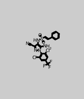 N#Cc1nn(-c2c(Cl)cc(C(F)(F)F)cc2Cl)c(N)c1NS(=O)(=O)C=Cc1ccccc1